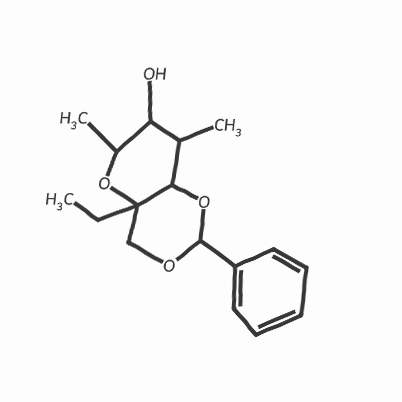 CCC12COC(c3ccccc3)OC1C(C)C(O)C(C)O2